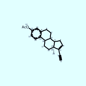 C#CC1=CCC2C3CCc4cc(OC(C)=O)ccc4C3CC[C@]12C